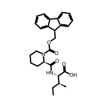 CC[C@H](C)[C@H](NC(=O)[C@H]1CCCCN1C(=O)OCC1c2ccccc2-c2ccccc21)C(=O)O